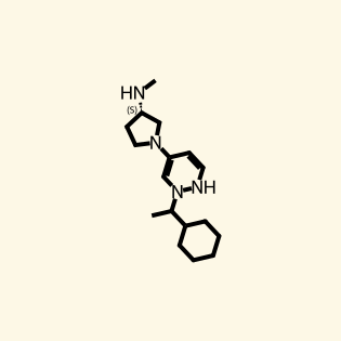 CN[C@H]1CCN(C2=CN(C(C)C3CCCCC3)NC=C2)C1